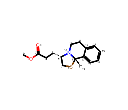 COC(=O)CC[C@H]1CS[C@H]2c3ccccc3CCN12